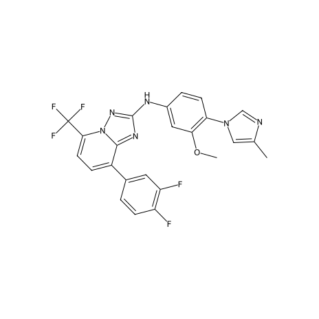 COc1cc(Nc2nc3c(-c4ccc(F)c(F)c4)ccc(C(F)(F)F)n3n2)ccc1-n1cnc(C)c1